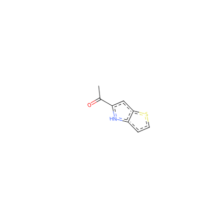 CC(=O)c1cc2sccc2[nH]1